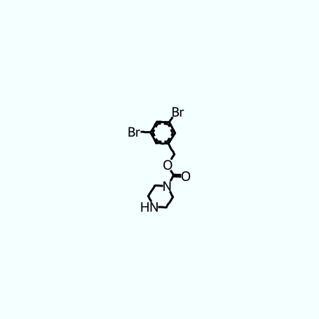 O=C(OCc1cc(Br)cc(Br)c1)N1CCNCC1